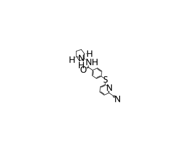 N#Cc1cccc(Sc2ccc(C(=O)N[C@@H]3C[C@H]4CC[C@@H]3N4)cc2)n1